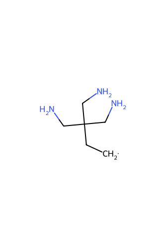 [CH2]CC(CN)(CN)CN